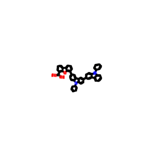 OB(O)c1cccc2c1oc1c(-c3ccc4c(c3)c3cc(-c5ccc6c(c5)c5ccccc5n6C5C=CC=CC5)ccc3n4-c3ccccc3)cccc12